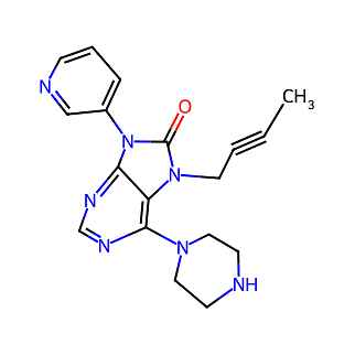 CC#CCn1c(=O)n(-c2cccnc2)c2ncnc(N3CCNCC3)c21